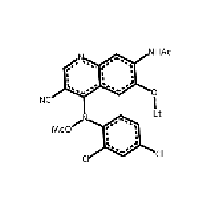 CCOc1cc2c(N(OC)c3ccc(Cl)cc3Cl)c(C#N)cnc2cc1NC(C)=O